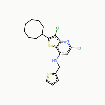 Clc1cc(NCc2cccs2)c2sc(C3CCCCCCC3)c(Cl)c2n1